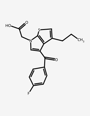 CCCc1csc2c1c(C(=O)c1ccc(F)cc1)cn2CC(=O)O